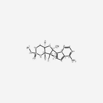 CC(C)OP1(=O)OC[C@H]2O[C@@](C#N)(c3ccc4c(N)ncnn34)[C@](C)(F)[C@@H]2O1